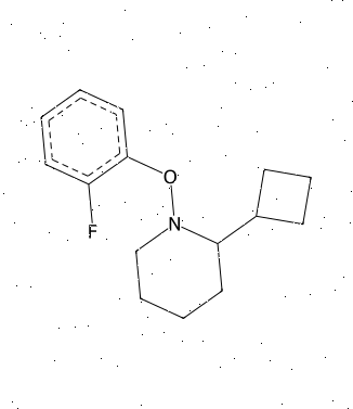 Fc1ccccc1ON1CCCCC1C1CCC1